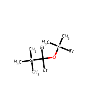 CCC(CC)(O[Si](C)(C)C(C)C)[Si](C)(C)C